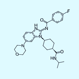 CC(C)NC(=O)[C@H]1CC[C@@H](n2/c(=N/C(=O)c3ccc(F)cc3)[nH]c3ccc(N4CCOCC4)cc32)CC1